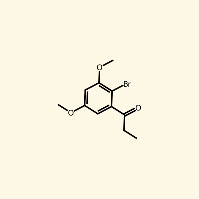 CCC(=O)c1cc(OC)cc(OC)c1Br